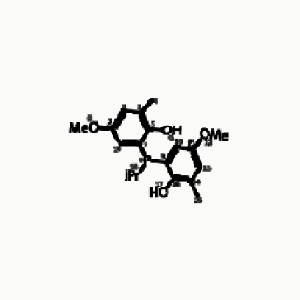 COc1cc(C)c(O)c(P(c2cc(OC)cc(C)c2O)C(C)C)c1